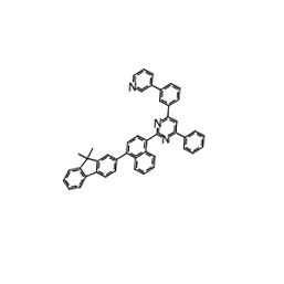 CC1(C)c2ccccc2-c2ccc(-c3ccc(-c4nc(-c5ccccc5)cc(-c5cccc(-c6cccnc6)c5)n4)c4ccccc34)cc21